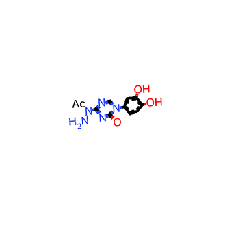 CC(=O)N(N)c1ncn(-c2ccc(O)c(O)c2)c(=O)n1